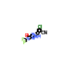 N#Cc1cc(Cl)cc2c1CC(Nc1ncc3c(n1)CN(C(CF)CF)C3=O)C2